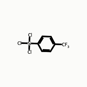 FC(F)(F)c1ccc([Si](Cl)(Cl)Cl)cc1